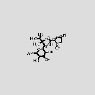 CCC[C@@H]1C[C@@H](C(=O)N[C@@H](C2OC(SC)C(O)C(O)C2O)C(C)(C)C(C)N)N(C)C1